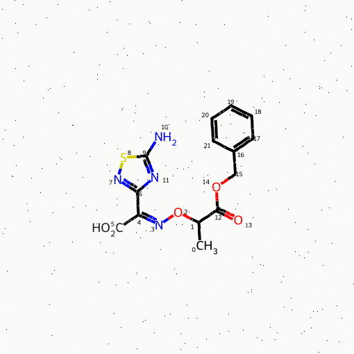 CC(O/N=C(/C(=O)O)c1nsc(N)n1)C(=O)OCc1ccccc1